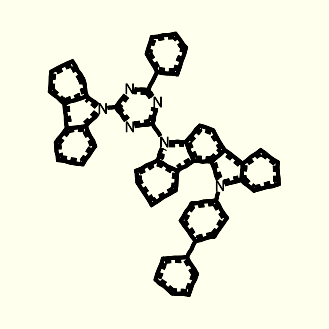 c1ccc(-c2ccc(-n3c4ccccc4c4ccc5c(c6ccccc6n5-c5nc(-c6ccccc6)nc(-n6c7ccccc7c7ccccc76)n5)c43)cc2)cc1